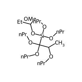 CCCOC(C)C(OCCC)(OCCC)[Si](OCCC)(OCCC)OC(CC)OC